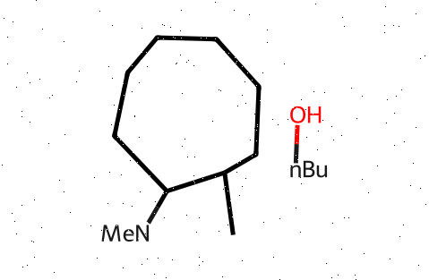 CCCCO.CNC1CCCCCCC1C